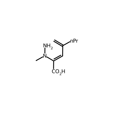 C=C(/C=C(/C(=O)O)N(C)N)CCC